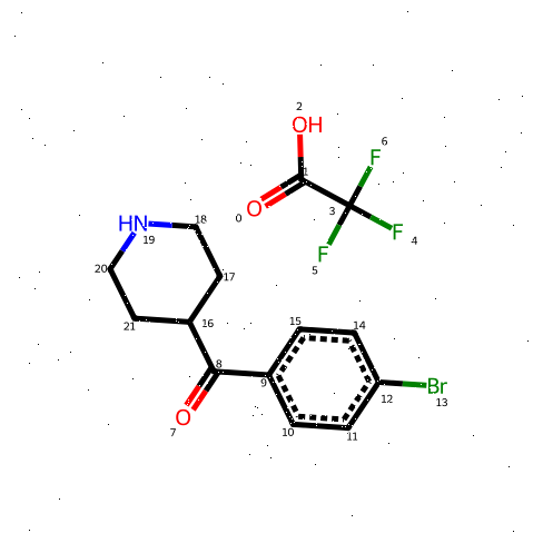 O=C(O)C(F)(F)F.O=C(c1ccc(Br)cc1)C1CCNCC1